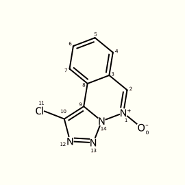 [O-][n+]1cc2ccccc2c2c(Cl)nnn21